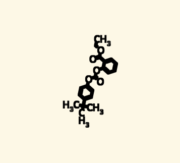 CCOC(=O)c1ccccc1OC(=O)Oc1ccc(C(C)(C)C)cc1